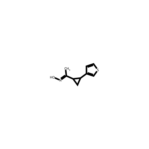 C/C(=N\O)C1CC1c1ccsc1